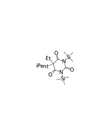 CCCC(C)C1(CC)C(=O)N([Si](C)(C)C)C(=O)N([Si](C)(C)C)C1=O